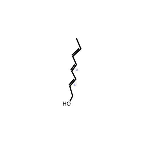 CC=C/C=C/C=C/CO